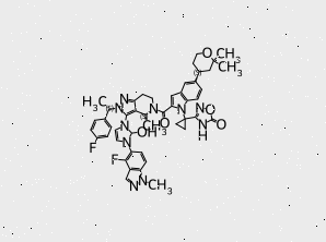 C[C@H]1c2c(nn([C@@H](C)c3ccc(F)cc3)c2N2C=CN(c3ccc4c(cnn4C)c3F)C2O)CCN1C(=O)c1cc2cc([C@H]3CCOC(C)(C)C3)ccc2n1C1(c2noc(=O)[nH]2)CC1